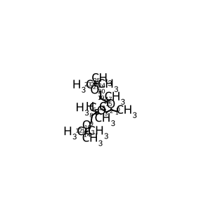 CCC(COC(C)(C)CCOC(C)(C)C)OC(C)(C)CCOC(C)(C)C